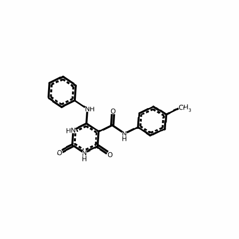 Cc1ccc(NC(=O)c2c(Nc3ccccc3)[nH]c(=O)[nH]c2=O)cc1